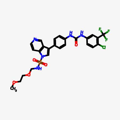 COCCOCNS(=O)(=O)n1cc(-c2ccc(NC(=O)Nc3ccc(Cl)c(C(F)(F)F)c3)cc2)c2cnccc21